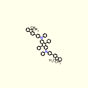 CC1(C)C2=C(CCC=C2)c2ccc(-c3ccc(N(c4ccccc4)c4ccc5c(C6=CC=CCC6)c6cc(N(c7ccccc7)c7ccc(-c8ccc9c(c8)C(C)(C)c8ccccc8-9)cc7)ccc6c(-c6ccccc6)c5c4)cc3)cc21